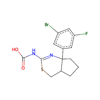 O=C(O)NC1=NC2(c3cc(F)cc(Br)c3)CCCC2CS1